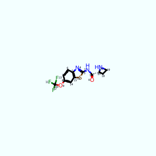 O=C(Nc1nc2ccc(OC(F)(F)F)cc2s1)[C@H]1CCN1